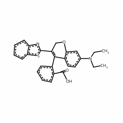 CCN(CC)c1ccc2c(c1)OCC(c1nc3ccccc3s1)=C2c1ccccc1C(=O)O